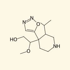 COC(CO)C1(c2cnno2)CCNCC1C(C)C